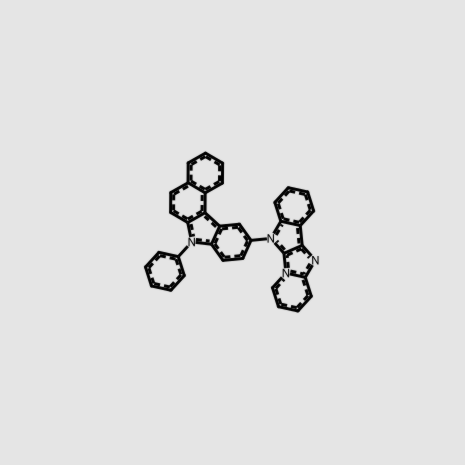 c1ccc(-n2c3ccc(-n4c5ccccc5c5nc6ccccn6c54)cc3c3c4ccccc4ccc32)cc1